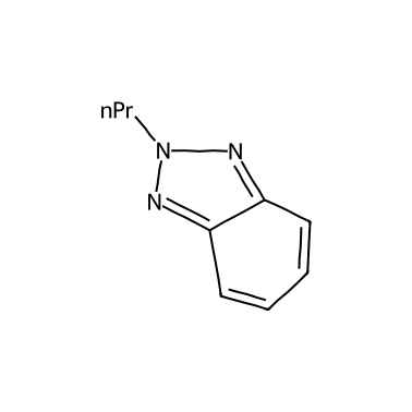 [CH2]CCn1nc2ccccc2n1